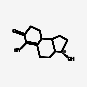 CCCC1=C2CCC3C(CC[C@@H]3O)C2CCC1=O